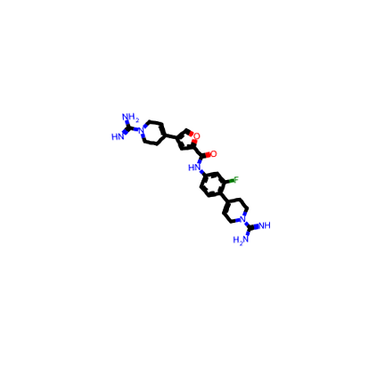 N=C(N)N1CC=C(c2coc(C(=O)Nc3ccc(C4=CCN(C(=N)N)CC4)c(F)c3)c2)CC1